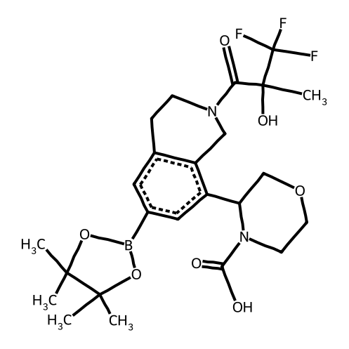 CC1(C)OB(c2cc3c(c(C4COCCN4C(=O)O)c2)CN(C(=O)C(C)(O)C(F)(F)F)CC3)OC1(C)C